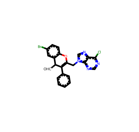 O=CC1C(c2ccccc2)=C(Cn2cnc3c(Cl)ncnc32)Oc2ccc(Br)cc21